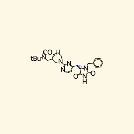 CC(C)(C)N(CC1CCCN(c2nccc(/C=C3\C(=O)NC(=O)N3Cc3ccccc3)n2)C1)C(=O)O